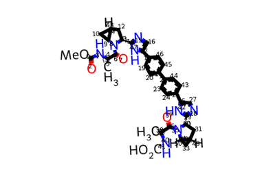 COC(=O)N[C@@H](C)C(=O)N1C2C[C@@H]2C[C@H]1c1ncc(-c2ccc(-c3ccc(-c4cnc([C@@H]5C[C@@H]6C[C@@H]6N5C(=O)[C@H](C)NC(=O)O)[nH]4)cc3)cc2)[nH]1